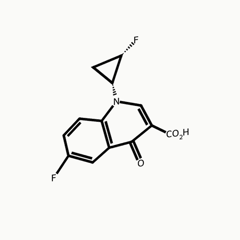 O=C(O)c1cn([C@@H]2C[C@@H]2F)c2ccc(F)cc2c1=O